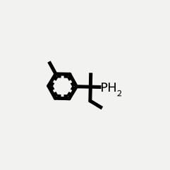 CCC(C)(P)c1cccc(C)c1